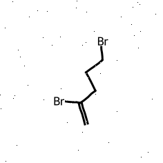 C=C(Br)CCCBr